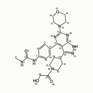 CNC(=O)Nc1ccc(-c2nc(N3CCOCC3)nc3[nH]nc(C4CCN(C(=O)CO)CC4)c23)cc1